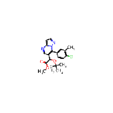 COC(=O)C(OC(C)(C)C)c1cnc2ccnn2c1-c1ccc(Cl)c(C)c1